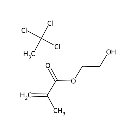 C=C(C)C(=O)OCCO.CC(Cl)(Cl)Cl